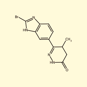 CC1CC(=O)NN=C1c1ccc2nc(Br)[nH]c2c1